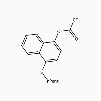 CCCCCSc1ccc(OC(=O)C(F)(F)F)c2ccccc12